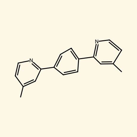 Cc1ccnc(-c2ccc(-c3cc(C)ccn3)cc2)c1